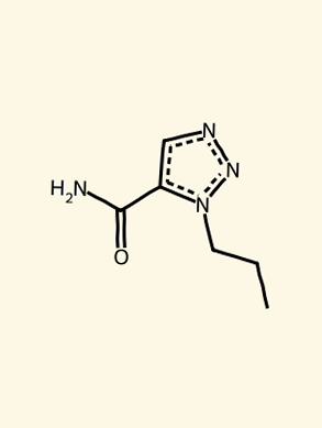 CCCn1nncc1C(N)=O